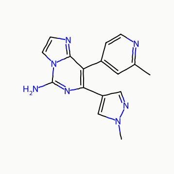 Cc1cc(-c2c(-c3cnn(C)c3)nc(N)n3ccnc23)ccn1